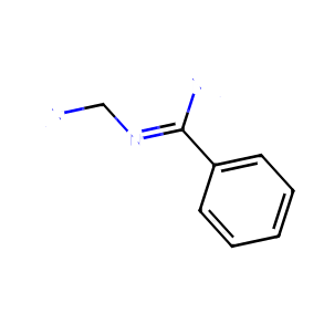 NCN=C(N)c1ccccc1